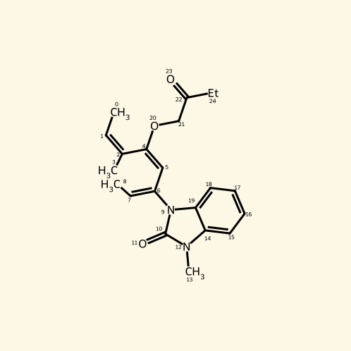 C\C=C(C)/C(=C\C(=C/C)n1c(=O)n(C)c2ccccc21)OCC(=O)CC